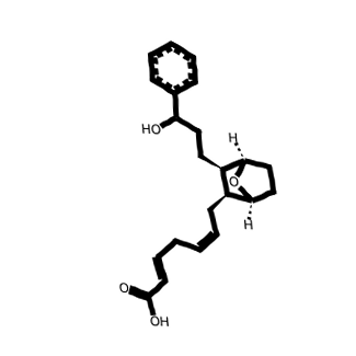 O=C(O)/C=C/C/C=C\C[C@H]1[C@@H](CCC(O)c2ccccc2)[C@H]2CC[C@@H]1O2